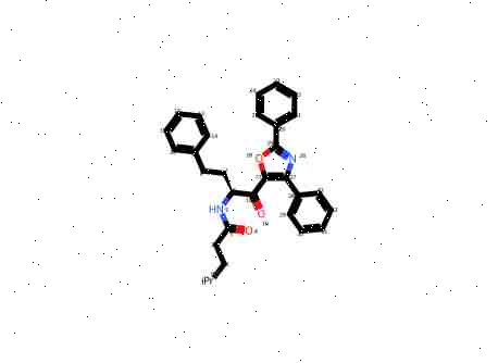 CC(C)CCC(=O)N[C@@H](CCc1ccccc1)C(=O)c1oc(-c2ccccc2)nc1-c1ccccc1